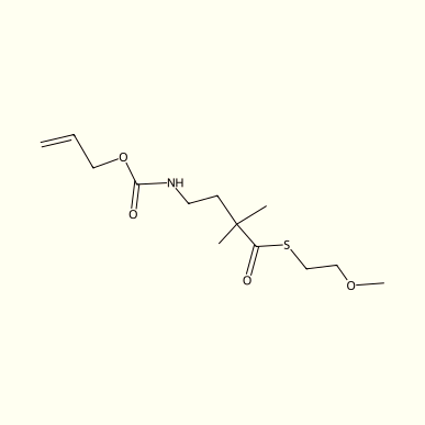 C=CCOC(=O)NCCC(C)(C)C(=O)SCCOC